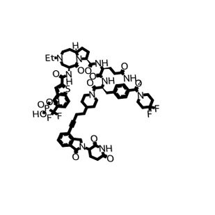 CCN1CC[C@H]2CC[C@@H](C(=O)N[C@@H](CCC(N)=O)C(=O)N[C@@H](Cc3ccc(C(=O)N4CCC(F)(F)CC4)cc3)C(=O)N3CCC(CCC#Cc4cccc5c4CN(C4CCC(=O)NC4=O)C5=O)CC3)N2C(=O)[C@@H](NC(=O)c2cc3cc(C(F)(F)P(=O)(O)O)ccc3s2)C1